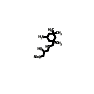 COCC(O)CNC[C@]1(C)CC(N)CC(C)(C)C1